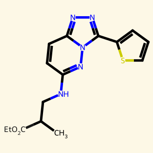 CCOC(=O)C(C)CNc1ccc2nnc(-c3cccs3)n2n1